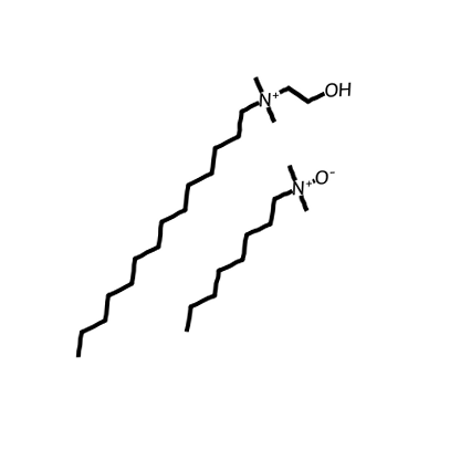 CCCCCCCCCCCCCC[N+](C)(C)CCO.CCCCCCCC[N+](C)(C)[O-]